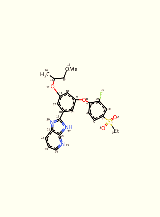 CCS(=O)(=O)c1ccc(Oc2cc(OC(C)COC)cc(-c3nc4cccnc4[nH]3)c2)c(F)c1